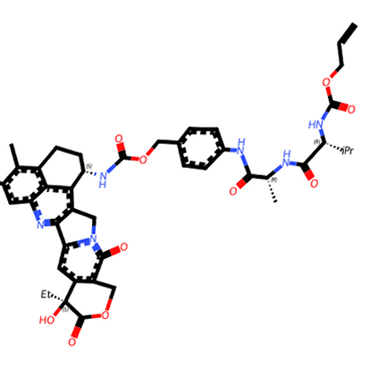 C=CCOC(=O)N[C@@H](C(=O)N[C@H](C)C(=O)Nc1ccc(COC(=O)N[C@H]2CCc3c(C)c(F)cc4nc5c(c2c34)Cn2c-5cc3c(c2=O)COC(=O)[C@]3(O)CC)cc1)C(C)C